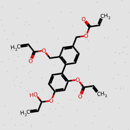 C=CC(=O)OCc1ccc(-c2ccc(OC(O)C=C)cc2OC(=O)C=C)c(COC(=O)C=C)c1